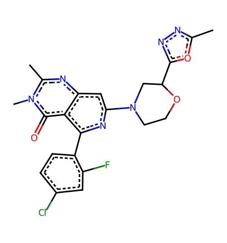 Cc1nnc(C2CN(c3cc4nc(C)n(C)c(=O)c4c(-c4ccc(Cl)cc4F)n3)CCO2)o1